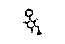 O=C1CC(=O)N(c2ccccc2)C(=O)N1CC1CC1